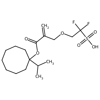 C=C(COCC(F)(F)S(=O)(=O)O)C(=O)OC1(C(C)C)CCCCCCC1